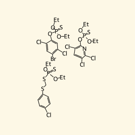 CCOP(=S)(OCC)Oc1cc(Cl)c(Br)cc1Cl.CCOP(=S)(OCC)Oc1nc(Cl)c(Cl)cc1Cl.CCOP(=S)(OCC)SCSc1ccc(Cl)cc1